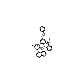 COC(=O)c1ccccc1Cc1ccc(COc2ccccc2)cc1NC(=O)C(CC(C)C)c1cccc2ccccc12